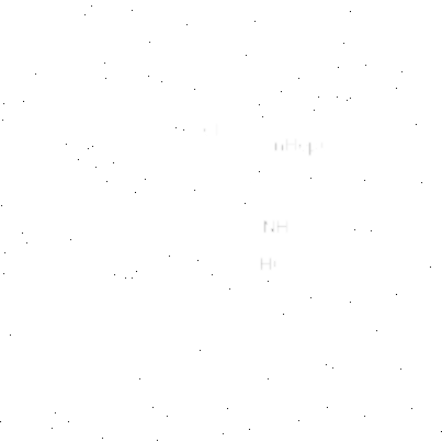 CCCCCCCC(N)C(C)(Cl)c1ccccc1C.Cl